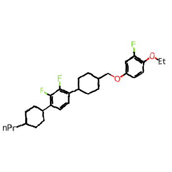 CCCC1CCC(c2ccc(C3CCC(COc4ccc(OCC)c(F)c4)CC3)c(F)c2F)CC1